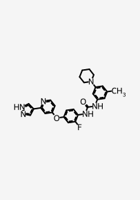 Cc1cc(NC(=O)Nc2ccc(Oc3ccnc(-c4cn[nH]c4)c3)cc2F)cc(N2CCCCC2)c1